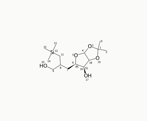 CC1(C)OC2O[C@H](CC(CO)C[Si](C)(C)C)[C@H](O)C2O1